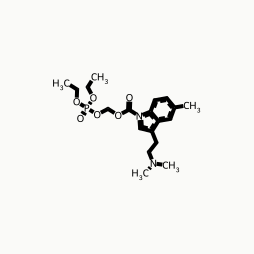 CCOP(=O)(OCC)OCOC(=O)n1cc(CCN(C)C)c2cc(C)ccc21